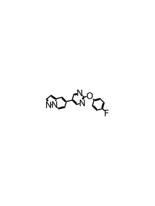 Fc1ccc(Oc2ncc(-c3ccn4nccc4c3)cn2)cc1